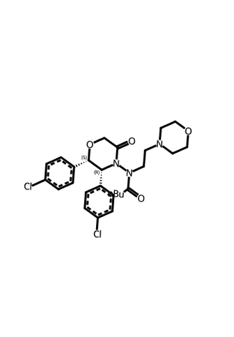 CCCCC(=O)N(CCN1CCOCC1)N1C(=O)CO[C@@H](c2ccc(Cl)cc2)[C@H]1c1ccc(Cl)cc1